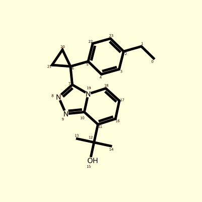 CCc1ccc(C2(c3nnc4c(C(C)(C)O)cccn34)CC2)cc1